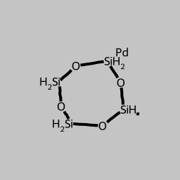 C[SiH]1O[SiH2]O[SiH2]O[SiH2]O1.[Pd]